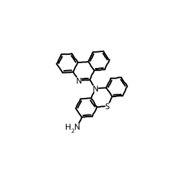 Nc1ccc2c(c1)Sc1ccccc1N2c1nc2ccccc2c2ccccc12